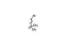 O=P(O)(O)OC=CBr